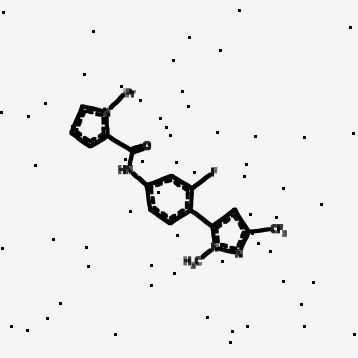 CC(C)n1cccc1C(=O)Nc1ccc(-c2cc(C(F)(F)F)nn2C)c(F)c1